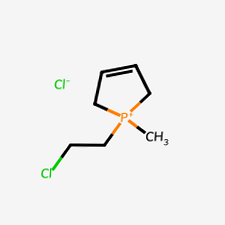 C[P+]1(CCCl)CC=CC1.[Cl-]